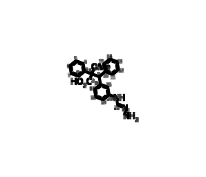 COC(C(=O)O)(c1ccccc1)C(c1ccccc1)c1cccc(NC=NN)c1